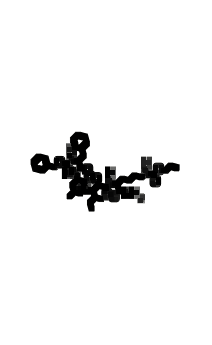 C=CCOC(=O)NCCCCC(NC(=O)C(=O)C(NC(=O)C(CC(C)C)NC(=O)C(Cc1ccccc1)NC(=O)OCc1ccccc1)C(C)CC)C(N)=O